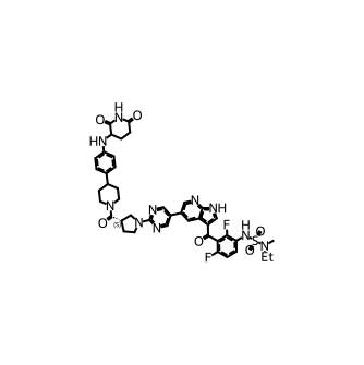 CCN(C)S(=O)(=O)Nc1ccc(F)c(C(=O)c2c[nH]c3ncc(-c4cnc(N5CC[C@H](C(=O)N6CCC(c7ccc(NC8CCC(=O)NC8=O)cc7)CC6)C5)nc4)cc23)c1F